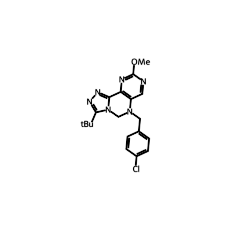 COc1ncc2c(n1)-c1nnc(C(C)(C)C)n1CN2Cc1ccc(Cl)cc1